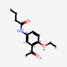 CCCC(=O)Nc1ccc(OCC)c(C(C)=O)c1